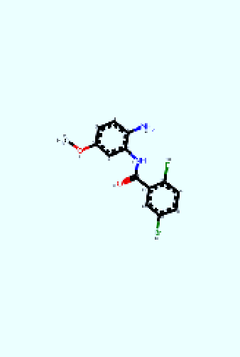 COc1ccc(N)c(NC(=O)c2cc(Br)ccc2F)c1